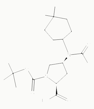 CC(=O)N(C1CCC(C)(C)CC1)[C@H]1C[C@@H](C(=O)O)N(C(=O)OC(C)(C)C)C1